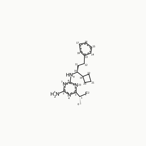 C[C@@H](F)c1nc(N)nc(N[C@@H](CCc2ccccc2)C2CCC2)n1